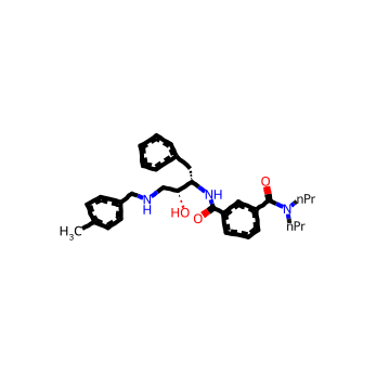 CCCN(CCC)C(=O)c1cccc(C(=O)N[C@@H](Cc2ccccc2)[C@H](O)CNCc2ccc(C)cc2)c1